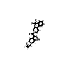 O=C(c1n[nH]c2c1CCN(CC(F)(F)F)C2)N1CCC(c2ccccc2C(F)(F)F)CC1